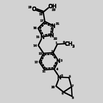 CCc1nc(N2CC3CC3C2)ccc1Cn1cc(C(=O)O)nn1